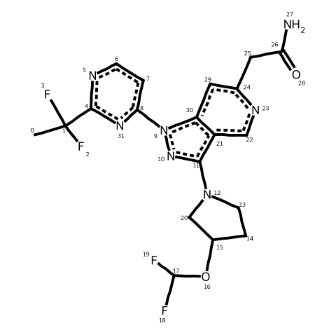 CC(F)(F)c1nccc(-n2nc(N3CCC(OC(F)F)C3)c3cnc(CC(N)=O)cc32)n1